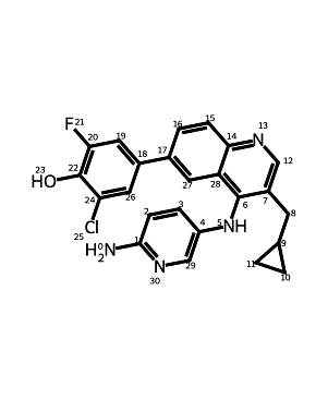 Nc1ccc(Nc2c(CC3CC3)cnc3ccc(-c4cc(F)c(O)c(Cl)c4)cc23)cn1